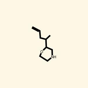 C=CCC(C)C1CNCCO1